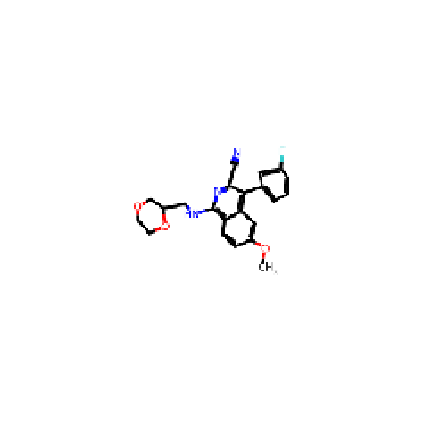 COc1ccc2c(NCC3COCCO3)nc(C#N)c(-c3cccc(F)c3)c2c1